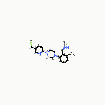 CCNCc1c(C)cccc1N1CCN(c2ccc(CF)cn2)CC1